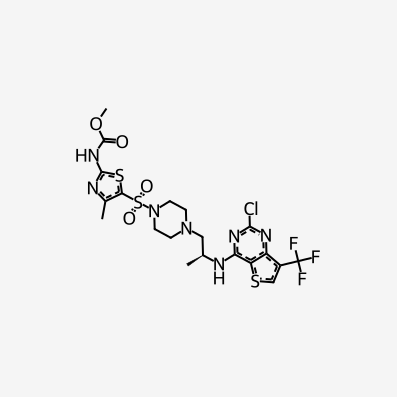 COC(=O)Nc1nc(C)c(S(=O)(=O)N2CCN(C[C@H](C)Nc3nc(Cl)nc4c(C(F)(F)F)csc34)CC2)s1